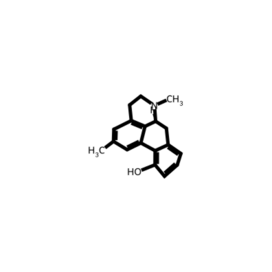 Cc1cc2c3c(c1)-c1c(O)cccc1C[C@H]3N(C)CC2